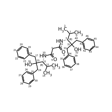 CC(C)[C@@H](NC(=O)CC(=O)N[C@H](C(C)C)C(O)(Cc1ccccc1)Cc1ccccc1)C(O)(Cc1ccccc1)Cc1ccccc1